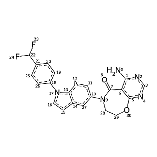 Nc1ncnc2c1C(=O)N(c1cnc3c(ccn3-c3ccc(C(F)F)cc3)c1)CCO2